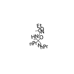 CCCN(C)CC(C)(CCC)C(C)NC(=O)c1noc(CC)c1C